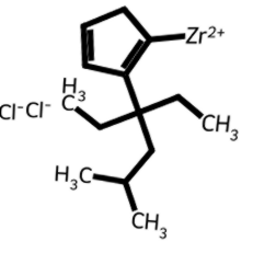 CCC(CC)(CC(C)C)C1=[C]([Zr+2])CC=C1.[Cl-].[Cl-]